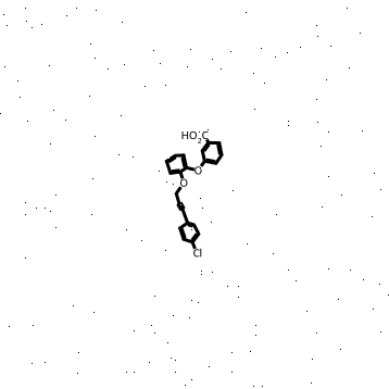 O=C(O)c1cccc(Oc2ccccc2OCC#Cc2ccc(Cl)cc2)c1